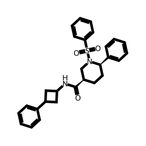 O=C(NC1CC(c2ccccc2)C1)[C@@H]1CC[C@H](c2ccccc2)N(S(=O)(=O)c2ccccc2)C1